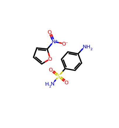 Nc1ccc(S(N)(=O)=O)cc1.O=[N+]([O-])c1ccco1